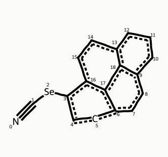 N#C[Se]c1ccc2ccc3cccc4ccc1c2c34